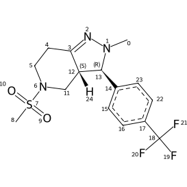 CN1N=C2CCN(S(C)(=O)=O)C[C@H]2[C@@H]1c1ccc(C(F)(F)F)cc1